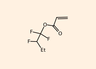 C=CC(=O)OC(F)(F)C(F)CC